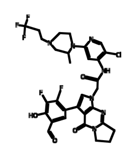 CC1CN(CCC(F)(F)F)CCN1c1cc(NC(=O)Cn2cc(-c3cc(C=O)c(O)c(F)c3F)c3c(=O)n4c(nc32)CCC4)c(Cl)cn1